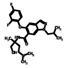 CC(C)Cn1ncc2cc(Oc3ccc(F)cc3F)c(C(=O)NC(C)(CO)CCN(C)C)cc21